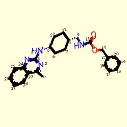 Cc1nc(N[C@H]2CC[C@@H](CNC(=O)OCc3ccccc3)CC2)nc2ccccc12